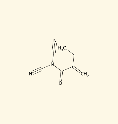 C=C(CC)C(=O)N(C#N)C#N